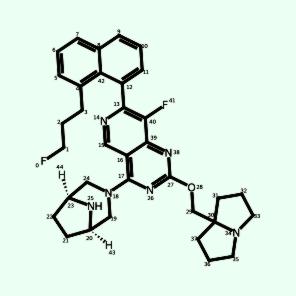 FCCCc1cccc2cccc(-c3ncc4c(N5C[C@H]6CC[C@@H](C5)N6)nc(OCC56CCCN5CCC6)nc4c3F)c12